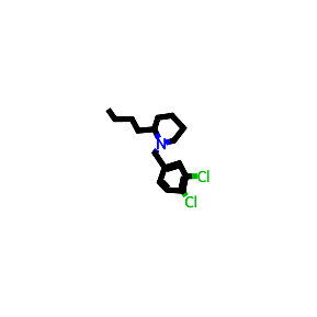 CCCCC1CCCCN1Cc1ccc(Cl)c(Cl)c1